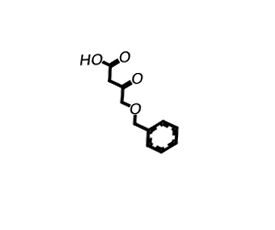 O=C(O)CC(=O)COCc1ccccc1